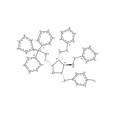 Cc1ccc(S[C@@H]2O[C@H](COC(c3ccccc3)(c3ccccc3)c3ccccc3)[C@H](OCc3ccccc3)[C@H]2OCc2ccccc2)cc1